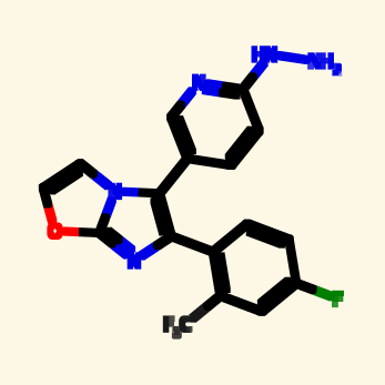 NNc1ccc(-c2c(-c3ccc(F)cc3C(F)(F)F)nc3occn23)cn1